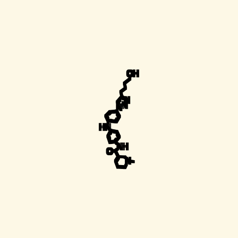 CN1C=CC=C(C(=O)Nc2ccc(Nc3ccc(-n4cc(CCCCO)nn4)cc3)cc2)C1